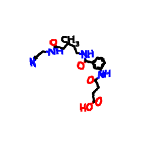 CC(CCNC(=O)c1cccc(NC(=O)CCC(=O)O)c1)CC(=O)NCC#N